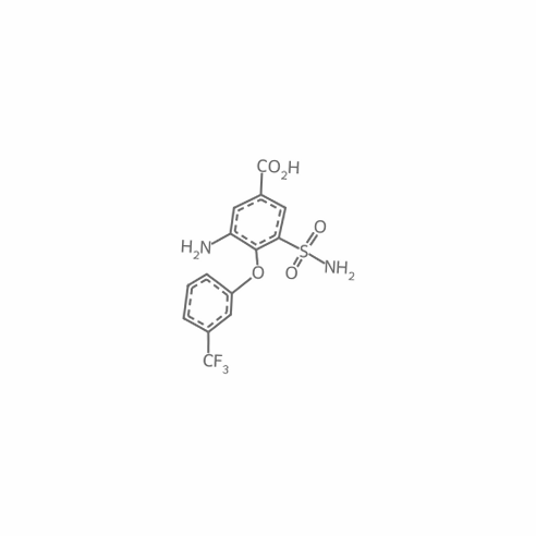 Nc1cc(C(=O)O)cc(S(N)(=O)=O)c1Oc1cccc(C(F)(F)F)c1